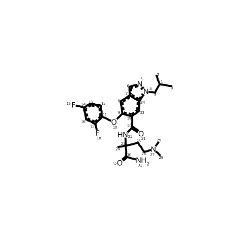 CC(C)Cn1ncc2cc(Oc3ccc(F)cc3F)c(C(=O)NC(C)(CCN(C)C)C(N)=O)cc21